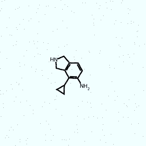 Nc1ccc2c(c1C1CC1)CNC2